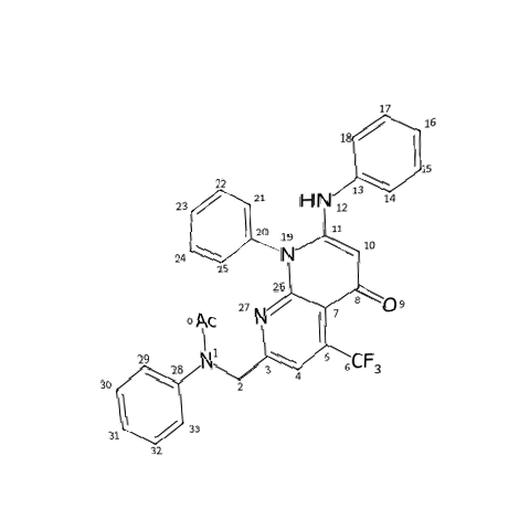 CC(=O)N(Cc1cc(C(F)(F)F)c2c(=O)cc(Nc3ccccc3)n(-c3ccccc3)c2n1)c1ccccc1